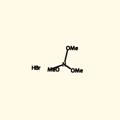 Br.CON(OC)OC